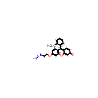 [N-]=[N+]=NCCOc1ccc2c(-c3ccccc3C(=O)O)c3ccc(=O)cc-3oc2c1